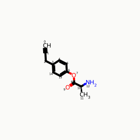 C#CCc1ccc(OC(=O)[C@H](C)N)cc1